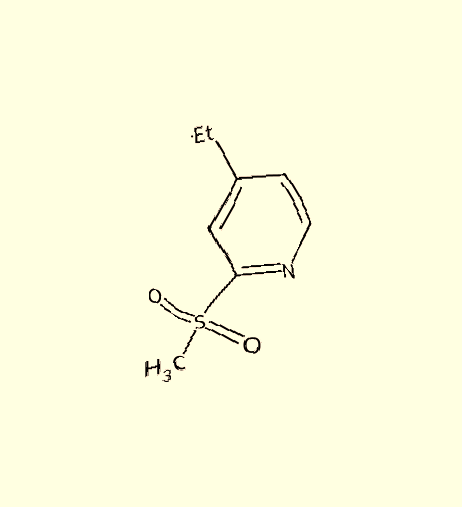 C[CH]c1ccnc(S(C)(=O)=O)c1